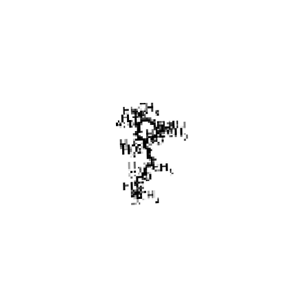 CCOC(C)OC(CC)C(C)C1OC1CC(C)/C=C/C=C(\C)C1OC(=O)CC(O[Si](C)(C)C(C)(C)C)CCC(C)(OC(C)OCC)C(OC(C)=O)/C=C/C1C